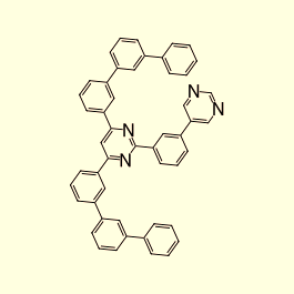 c1ccc(-c2cccc(-c3cccc(-c4cc(-c5cccc(-c6cccc(-c7ccccc7)c6)c5)nc(-c5cccc(-c6cncnc6)c5)n4)c3)c2)cc1